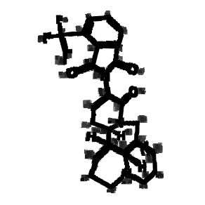 O=C1c2cccc(C(F)(F)F)c2C(=O)N1C1CC[C@@H]2[C@H]3CCCN4CCC[C@@H](CN2C1=O)[C@@H]34